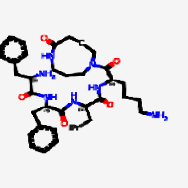 CC(C)C[C@@H](NC(=O)[C@@H](Cc1ccccc1)NC(=O)[C@H](N)Cc1ccccc1)C(=O)N[C@H](CCCCN)C(=O)N1CCCNC(=O)CCC1